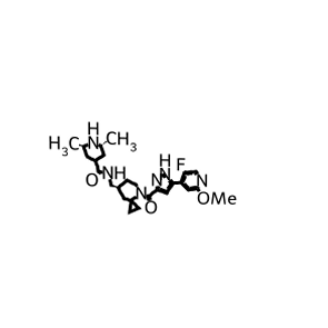 COc1cc(-c2cc(C(=O)N3CC[C@H](CNC(=O)C4C[C@@H](C)N[C@@H](C)C4)CC34CC4)n[nH]2)c(F)cn1